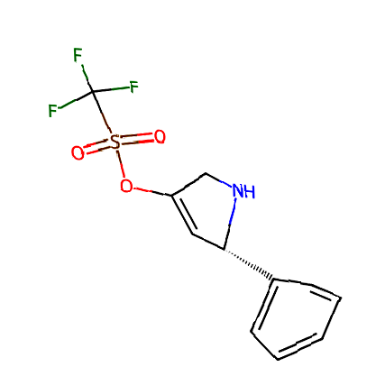 O=S(=O)(OC1=C[C@@H](c2ccccc2)NC1)C(F)(F)F